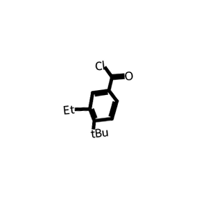 CCc1cc(C(=O)Cl)ccc1C(C)(C)C